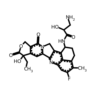 CCC1(O)C(=O)OCc2c1cc1n(c2=O)Cc2c-1nc1cc(F)c(C)c3c1c2C(NC(=O)C(O)CN)CC3